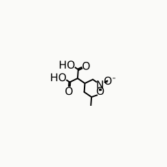 CC(C)CC(C[N+](=O)[O-])C(C(=O)O)C(=O)O